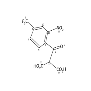 O=C(O)C(C(=O)O)C(=O)c1ccc(C(F)(F)F)cc1[N+](=O)[O-]